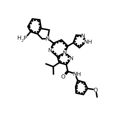 COc1cccc(NC(=O)c2nn3c(-c4cn[nH]c4)cc(N4Cc5cccc(P)c5C4)nc3c2C(C)C)c1